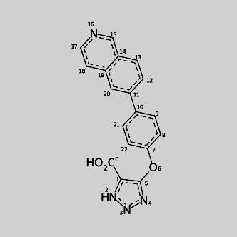 O=C(O)c1[nH]nnc1Oc1ccc(-c2ccc3cnccc3c2)cc1